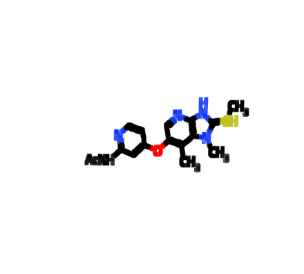 C/[SH]=c1\[nH]c2ncc(Oc3ccnc(NC(C)=O)c3)c(C)c2n1C